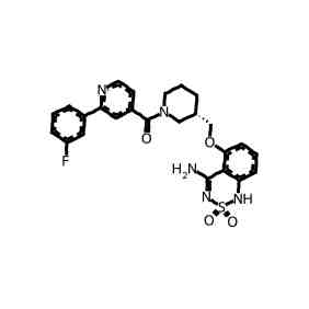 NC1=NS(=O)(=O)Nc2cccc(OC[C@H]3CCCN(C(=O)c4ccnc(-c5cccc(F)c5)c4)C3)c21